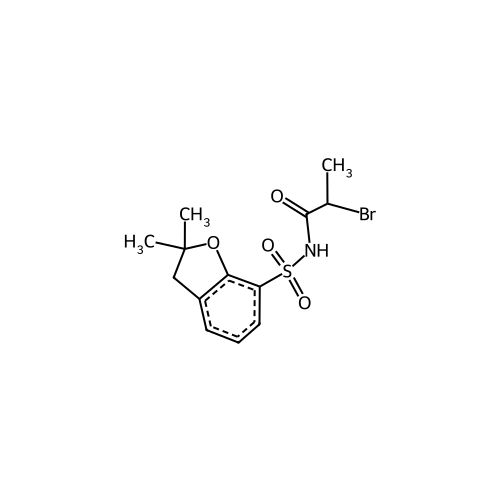 CC(Br)C(=O)NS(=O)(=O)c1cccc2c1OC(C)(C)C2